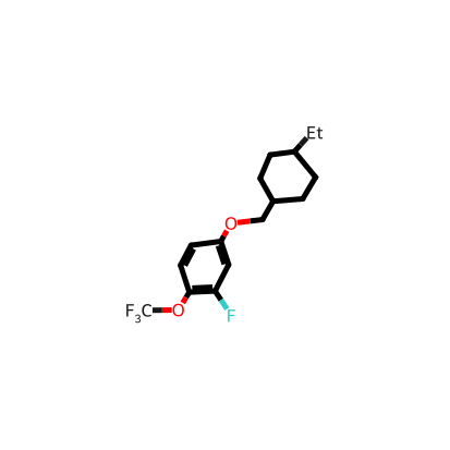 CCC1CCC(COc2ccc(OC(F)(F)F)c(F)c2)CC1